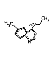 CCNc1ncnc2ccc(C)cc12